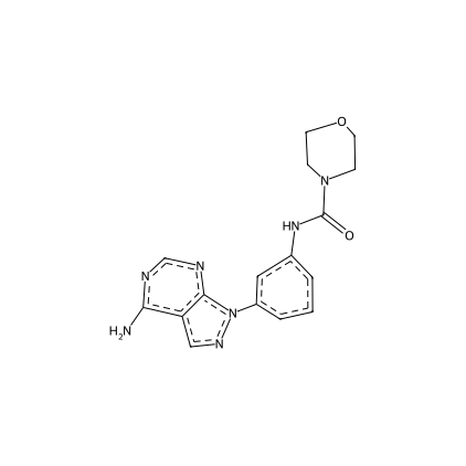 Nc1ncnc2c1cnn2-c1cccc(NC(=O)N2CCOCC2)c1